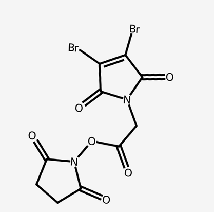 O=C(CN1C(=O)C(Br)=C(Br)C1=O)ON1C(=O)CCC1=O